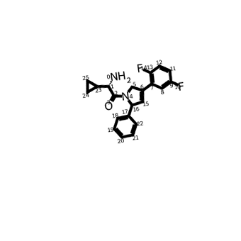 N[C@H](C(=O)N1CC(c2cc(F)ccc2F)=CC1c1ccccc1)C1CC1